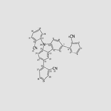 N#Cc1ccccc1-c1ccc2c(c1)c1cc(-c3ccccc3C#N)ccc1n2-c1ccccc1C#N